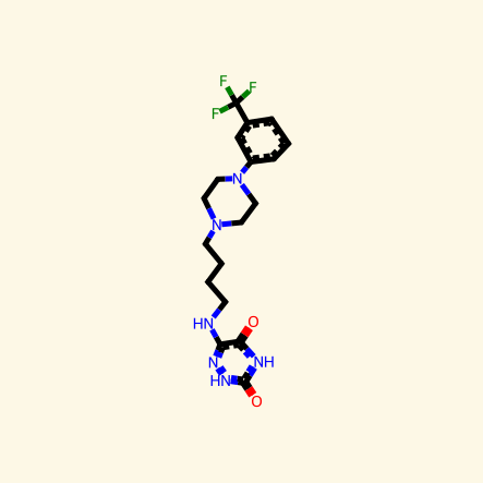 O=c1[nH]nc(NCCCCN2CCN(c3cccc(C(F)(F)F)c3)CC2)c(=O)[nH]1